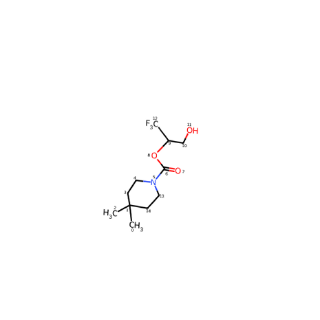 CC1(C)CCN(C(=O)OC(CO)C(F)(F)F)CC1